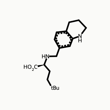 CC(C)(C)CC[C@H](NCc1ccc2c(c1)NCCC2)C(=O)O